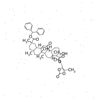 Cc1oc(=O)oc1COC(=O)[C@@]1(C)[C@@H]2CC[C@]3(C)[C@H](C(=O)C=C4[C@@H]5C[C@@](C)(C(=O)OC(c6ccccc6)c6ccccc6)CC[C@]5(C)CC[C@]43C)[C@@]2(C)CC[C@@H]1O